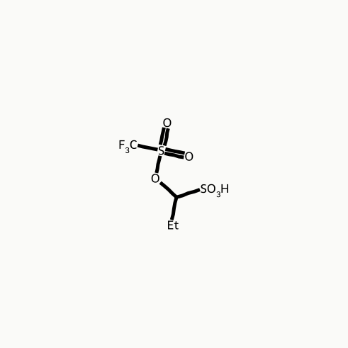 CCC(OS(=O)(=O)C(F)(F)F)S(=O)(=O)O